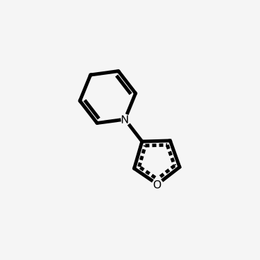 C1=CN(c2ccoc2)C=CC1